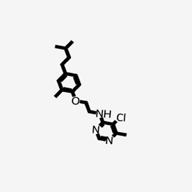 Cc1cc(CCC(C)C)ccc1OCCNc1ncnc(C)c1Cl